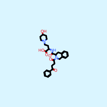 O=C(CCC(=O)N1Cc2ccccc2CC1C(=O)NC(CCN1CCC(O)CC1)C(=O)O)c1ccccc1